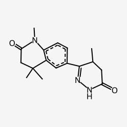 CC1CC(=O)NN=C1c1ccc2c(c1)C(C)(C)CC(=O)N2C